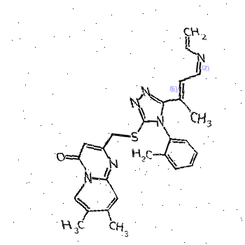 C=C/N=C\C=C(/C)c1nnc(SCc2cc(=O)n3cc(C)c(C)cc3n2)n1-c1ccccc1C